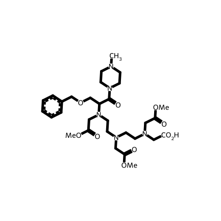 COC(=O)CN(CCN(CC(=O)O)CC(=O)OC)CCN(CC(=O)OC)C(COCc1ccccc1)C(=O)N1CCN(C)CC1